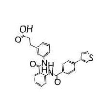 O=C(O)CCc1cccc(NC(=O)c2ccccc2NC(=O)c2ccc(-c3ccsc3)cc2)c1